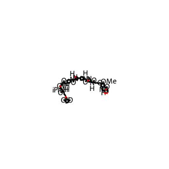 COc1cc2c(cc1OCCCC(=O)Nc1cc(C(=O)Nc3ccc(-c4cc(C(=O)Nc5ccc(NC(=O)[C@H](C)NC(=O)[C@@H](NC(=O)CCCCCN6C(=O)C=CC6=O)C(C)C)cc5)n(C)c4)cc3)n(C)c1)N=C[C@@H]1CCCCN1C2=O